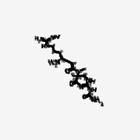 CN(C(=O)C[C@H](N)CCCNC(=N)N)[C@]1(C)CNC(NC(N)=O)=NC1=O